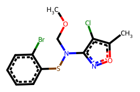 COCN(Sc1ccccc1Br)c1noc(C)c1Cl